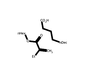 C=C(CC)C(=O)OCCCCCC.CCCCCCCCCCCCCC(=O)O